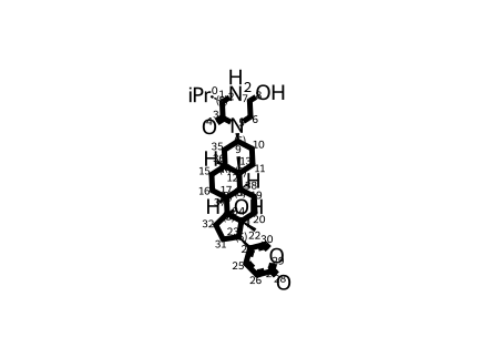 CC(C)[C@H](N)C(=O)N(CCO)[C@H]1CC[C@@]2(C)[C@H](CC[C@@H]3[C@@H]2CC[C@]2(C)[C@@H](c4ccc(=O)oc4)CC[C@]32O)C1